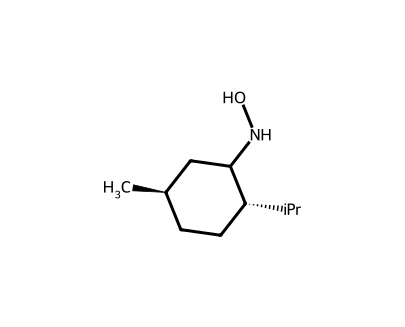 CC(C)[C@@H]1CC[C@@H](C)CC1NO